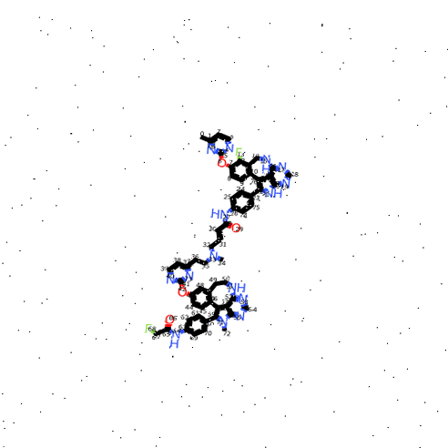 Cc1ccnc(Oc2ccc3c(c2F)CNc2ncnc4[nH]c(-c5ccc(NC(=O)/C=C/CN(C)CCc6ccnc(Oc7ccc8c(c7)CCNc7ncnc9c7c-8c(-c7ccc(NC(=O)CF)cc7)n9C)n6)cc5)c-3c24)n1